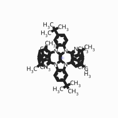 Cc1cc(C)nc(N2/C(=C3/N(c4cc(C)cc(C)n4)c4ccc(C(C)(C)C)cc4N3c3nc(C)ccc3C)N(c3cc(C)cc(C)n3)c3cc(C(C)(C)C)ccc32)c1